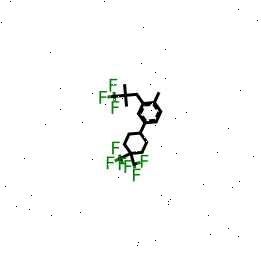 Cc1ccc(C2CCC(C(F)(F)F)(C(F)(F)F)CC2)cc1CC(C)(C)C(F)(F)F